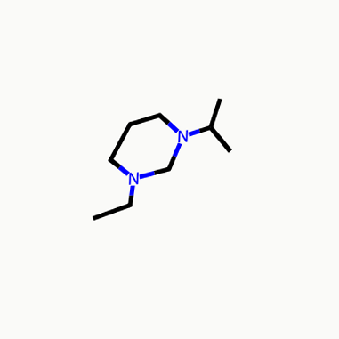 CCN1CCCN(C(C)C)C1